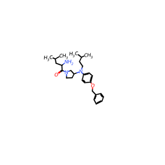 CC(C)CCN(c1ccc(OCc2ccccc2)cc1)C1CCN(C(=O)C(N)CC(C)C)C1